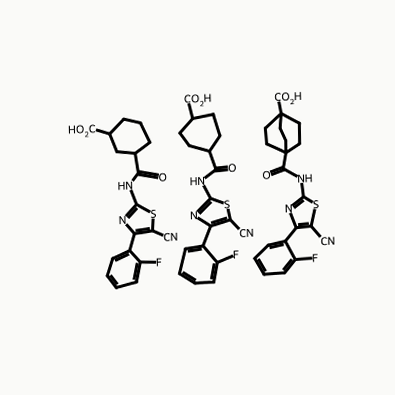 N#Cc1sc(NC(=O)C23CCC(C(=O)O)(CC2)CC3)nc1-c1ccccc1F.N#Cc1sc(NC(=O)C2CCC(C(=O)O)CC2)nc1-c1ccccc1F.N#Cc1sc(NC(=O)C2CCCC(C(=O)O)C2)nc1-c1ccccc1F